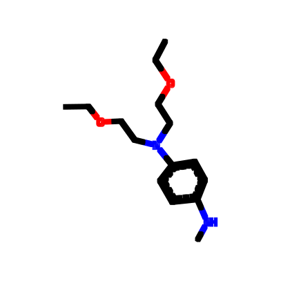 CCOCCN(CCOCC)c1ccc(NC)cc1